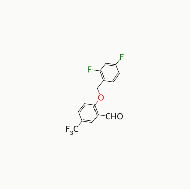 O=Cc1cc(C(F)(F)F)ccc1OCc1ccc(F)cc1F